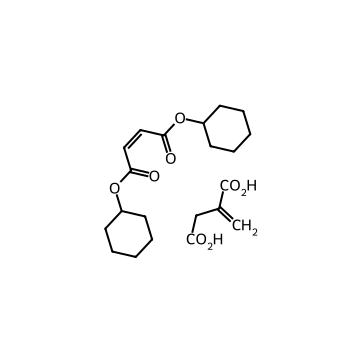 C=C(CC(=O)O)C(=O)O.O=C(/C=C\C(=O)OC1CCCCC1)OC1CCCCC1